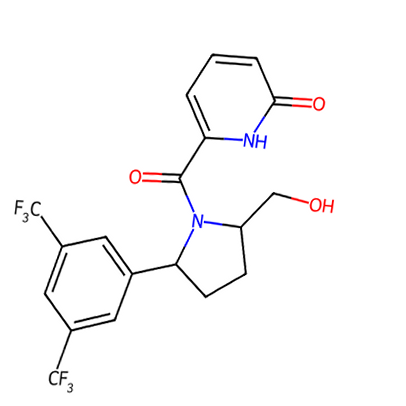 O=C(c1cccc(=O)[nH]1)N1C(CO)CCC1c1cc(C(F)(F)F)cc(C(F)(F)F)c1